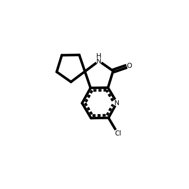 O=C1NC2(CCCC2)c2ccc(Cl)nc21